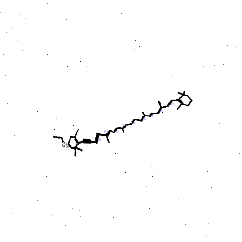 CCO[C@@H]1CC(C)=C(C#C/C=C/C(C)=C/C=C/C(C)=C/C=C/C=C(C)/C=C/C=C(C)/C=C/C2=C(C)CCCC2(C)C)C(C)(C)C1